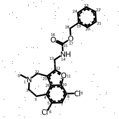 CN1CCc2c(Cl)cc(Cl)c3oc(CNC(=O)OCc4ccccc4)c(c23)C1